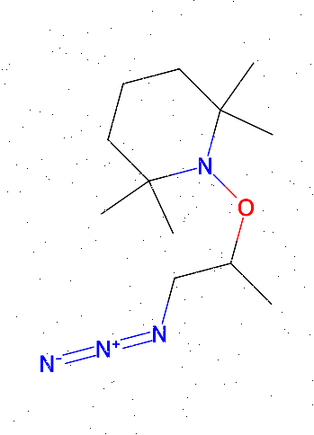 CC(CN=[N+]=[N-])ON1C(C)(C)CCCC1(C)C